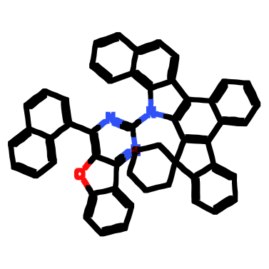 c1ccc2c(c1)-c1c(c3c(c4ccccc14)c1ccc4ccccc4c1n3-c1nc(-c3cccc4ccccc34)c3oc4ccccc4c3n1)C21CCCCC1